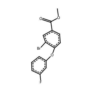 COC(=O)c1ccc(Oc2cccc(F)c2)c(Br)c1